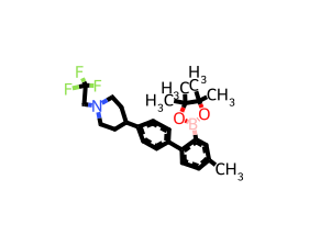 Cc1ccc(-c2ccc(C3CCN(CC(F)(F)F)CC3)cc2)c(B2OC(C)(C)C(C)(C)O2)c1